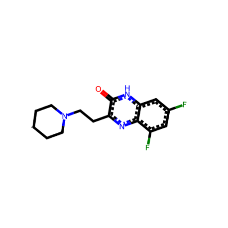 O=c1[nH]c2cc(F)cc(F)c2nc1CCN1CC[CH]CC1